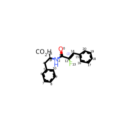 O=C(N[C@@H](Cc1ccccc1)C(=O)O)/C(F)=C/c1ccccc1